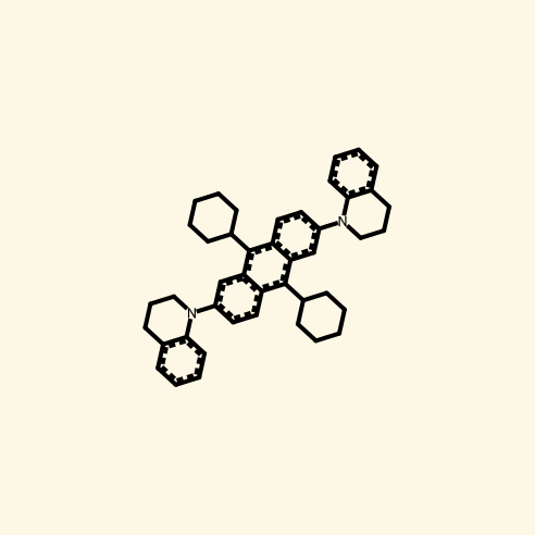 c1ccc2c(c1)CCCN2c1ccc2c(C3CCCCC3)c3cc(N4CCCc5ccccc54)ccc3c(C3CCCCC3)c2c1